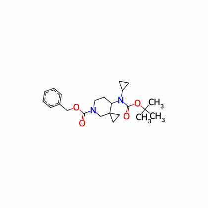 CC(C)(C)OC(=O)N(C1CC1)C1CCN(C(=O)OCc2ccccc2)CC12CC2